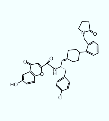 O=C(N[C@H](C=C1CCC(c2ccccc2CN2CCCC2=O)CC1)Cc1ccc(Cl)cc1)c1cc(=O)c2cc(O)ccc2o1